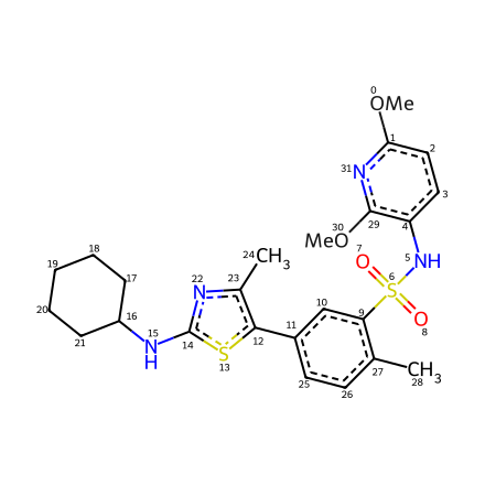 COc1ccc(NS(=O)(=O)c2cc(-c3sc(NC4CCCCC4)nc3C)ccc2C)c(OC)n1